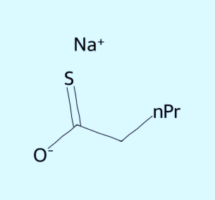 CCCCC([O-])=S.[Na+]